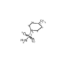 CC1CCN(S(N)(=O)=O)CC1